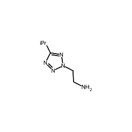 CC(C)c1nnn(CCN)n1